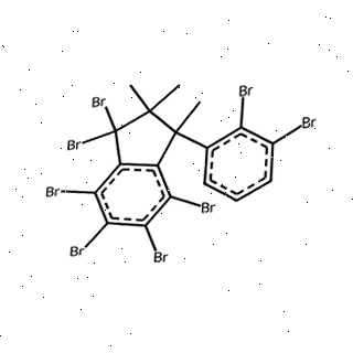 CC1(c2cccc(Br)c2Br)c2c(Br)c(Br)c(Br)c(Br)c2C(Br)(Br)C1(C)C